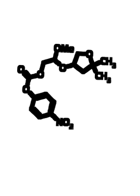 COC(COC(=O)Oc1ccc([N+](=O)[O-])cc1)OC1COC(C)(C)C1